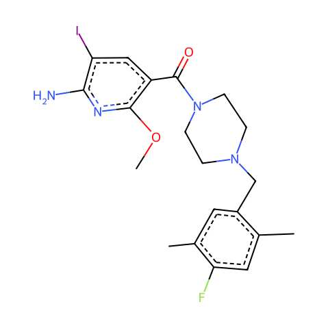 COc1nc(N)c(I)cc1C(=O)N1CCN(Cc2cc(C)c(F)cc2C)CC1